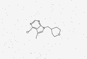 Clc1ncnc2c1c(I)cn2CC1CCOCC1